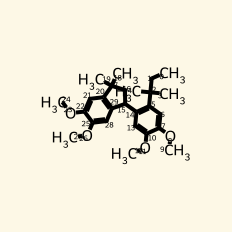 CCC(C)(C)c1cc(OC)c(OC)cc1C1CC(C)(C)c2cc(OC)c(OC)cc21